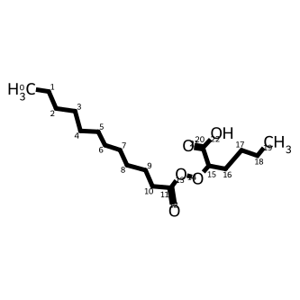 CCCCCCCCCCCC(=O)OOC(CCCC)C(=O)O